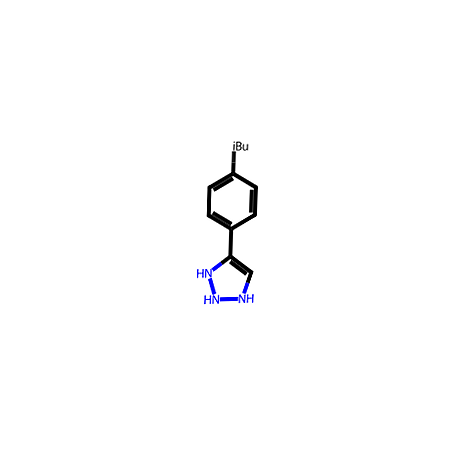 CCC(C)c1ccc(C2=CNNN2)cc1